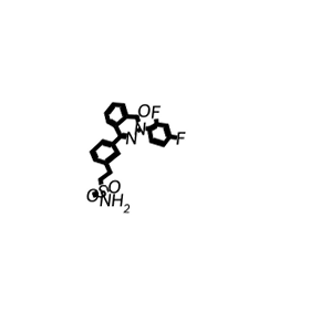 NS(=O)(=O)CCc1cccc(-c2nn(-c3ccc(F)cc3F)c(=O)c3ccccc23)c1